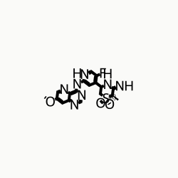 COc1cnc2c(Nc3cc(C4CS(=O)(=O)[C@H](C)C(=N)N4)c(F)cn3)ncnc2c1